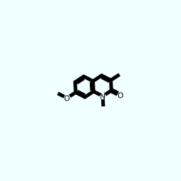 COc1ccc2cc(C)c(=O)n(C)c2c1